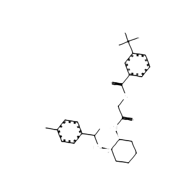 CC(N[C@@H]1CCCC[C@@H]1NC(=O)CNC(=O)c1cccc(C(F)(F)F)c1)c1ccc(Cl)cc1